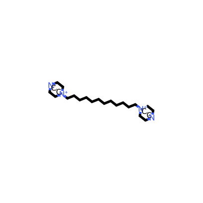 C(CCCCCC[N+]12CCN(CC1)CC2)CCCCC[N+]12CCN(CC1)CC2